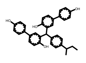 CCC(C)c1ccc(C(c2cc(-c3ccc(O)cc3)ccc2O)c2cc(-c3ccc(O)cc3)ccc2O)cc1